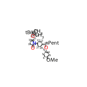 CCCCCC(OCc1ccc(OC)cc1)c1ccc(N2C(=O)CC[C@@H]2CO[Si](C)(C)C(C)(C)C)cc1